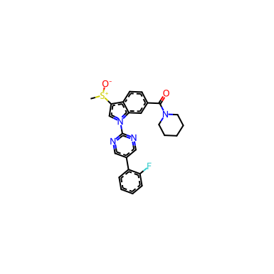 C[S+]([O-])c1cn(-c2ncc(-c3ccccc3F)cn2)c2cc(C(=O)N3CCCCC3)ccc12